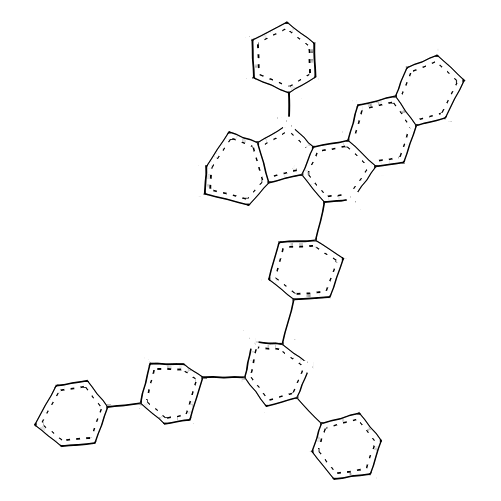 c1ccc(-c2ccc(-c3cc(-c4ccccc4)nc(-c4ccc(-c5nc6cc7ccccc7cc6c6c5c5ccccc5n6-c5ccccc5)cc4)n3)cc2)cc1